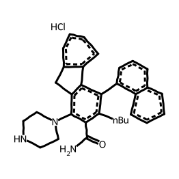 CCCCc1c(C(N)=O)c(N2CCNCC2)c2c(c1-c1cccc3ccccc13)-c1ccccc1C2.Cl